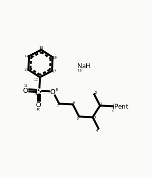 CCCC(C)C(C)C(C)CCCOS(=O)(=O)c1ccccc1.[NaH]